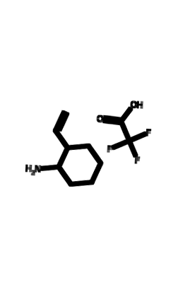 C=CC1CCCCC1N.O=C(O)C(F)(F)F